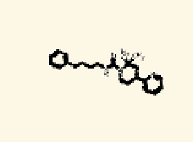 CC1(C)CC(c2ccccn2)CCN1C(=O)NCCCCc1ccccc1